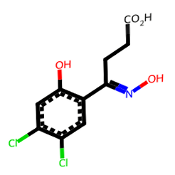 O=C(O)CC/C(=N\O)c1cc(Cl)c(Cl)cc1O